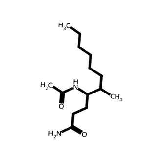 CCCCCCC(C)C(CCC(N)=O)NC(C)=O